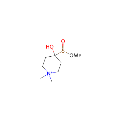 COS(=O)C1(O)CC[N+](C)(C)CC1